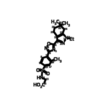 CCn1nc(-c2nc(-c3ccc(S(=O)(=O)NCC(=O)O)cc3C)no2)c2c1CC(C)(C)CC2